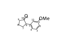 COc1cccc(C2CCCC2=O)c1